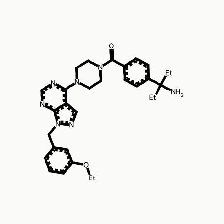 CCOc1cccc(Cn2ncc3c(N4CCN(C(=O)c5ccc(C(N)(CC)CC)cc5)CC4)ncnc32)c1